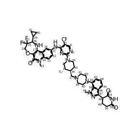 C[C@@H]1CN(c2ncc(Cl)c(Nc3ccc4c(c3)c3c(c(=O)n4C)OCC(F)(F)C(C4CC4)N3)n2)CC[C@H]1CN1CCN(c2cccc3c(C4CCC(=O)NC4=O)nn(C)c23)CC1